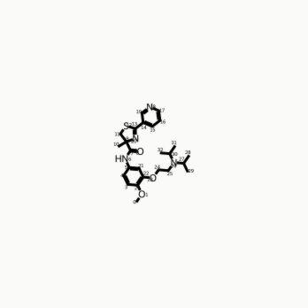 COc1ccc(NC(=O)C2(C)CSC(c3cccnc3)=N2)cc1OCCN(C(C)C)C(C)C